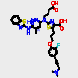 C/C(=C/C(=N)N(CCCC(=O)O)c1nc(C(=O)O)c(CCCOc2ccc(C#CCN(C)C)cc2F)s1)C(=N)Nc1nc2ccccc2s1